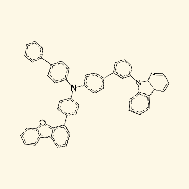 C1=CC2c3ccccc3N(c3cccc(-c4ccc(N(c5ccc(-c6ccccc6)cc5)c5ccc(-c6cccc7c6oc6ccccc67)cc5)cc4)c3)C2C=C1